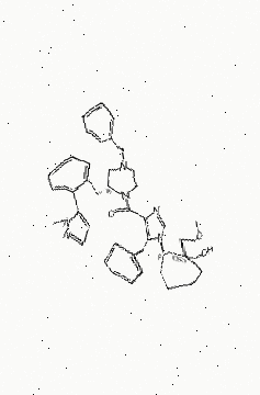 COC[C@]1(O)CCCC[C@H]1n1cnc(C(=O)N2CCN(Cc3ccccc3)C[C@H]2Cc2ccccc2-c2ccnn2C)c1-c1ccccc1